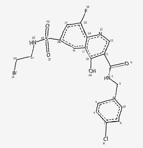 O=C(NCc1ccc(Cl)cc1)c1cnc2c(F)cc(S(=O)(=O)NCCBr)cc2c1O